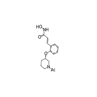 CC(=O)N1CCC[C@@H](Oc2ccccc2C=CC(=O)NO)C1